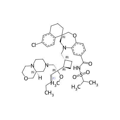 CC/C=C/[C@](CN1CCN2CCOC[C@@H]2C1)(OC)[C@@H]1CC[C@H]1CN1C[C@@]2(CCCc3cc(Cl)ccc32)COc2ccc(C(=O)NS(=O)(=O)C(C)C)cc21